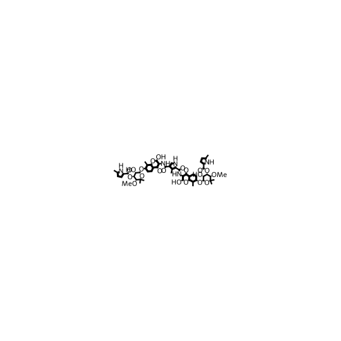 CO[C@@H]1[C@@H](OC(=O)c2ccc(C)[nH]2)[C@@H](O)C(Oc2ccc3c(=O)c(NC(=O)c4c[nH]c(C(=O)Nc5c(O)oc6c(C)c(OC7OC(C)(C)[C@H](OC)[C@@H](OC(=O)c8ccc(C)[nH]8)[C@H]7O)ccc6c5=O)c4C)c(O)oc3c2C)OC1(C)C